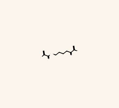 C=C(CC)C(=O)CCCCOC(=O)C(=C)CC